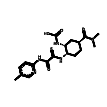 Cc1ccc(NC(=O)C(=S)N[C@H]2CC[C@H](C(=O)N(C)C)C[C@H]2NC(=O)O)nc1